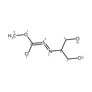 COC(Cl)=S=NC(CCl)CCl